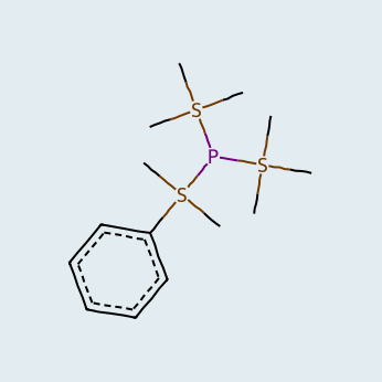 CS(C)(C)P(S(C)(C)C)S(C)(C)c1ccccc1